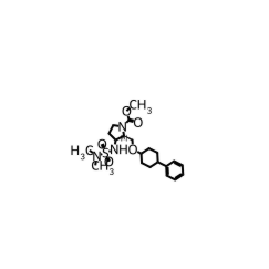 COC(=O)N1CCC(NS(=O)(=O)N(C)C)[C@@H]1COC1CCC(c2ccccc2)CC1